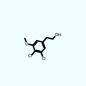 COc1cc(CCO)cc(Cl)c1Cl